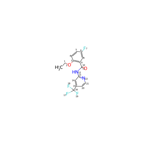 CCOc1ccc(F)cc1C(=O)Nc1cc(C(F)(F)F)ccn1